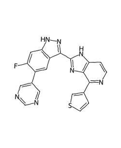 Fc1cc2[nH]nc(-c3nc4c(-c5ccsc5)nccc4[nH]3)c2cc1-c1cncnc1